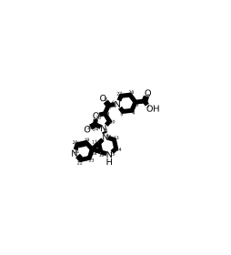 O=C(O)C1CCN(C(=O)C2CN(N3CCNC4C3C43C=CN=CC3)C(=O)O2)CC1